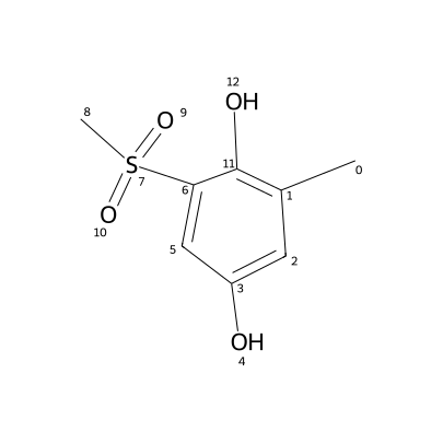 Cc1cc(O)cc(S(C)(=O)=O)c1O